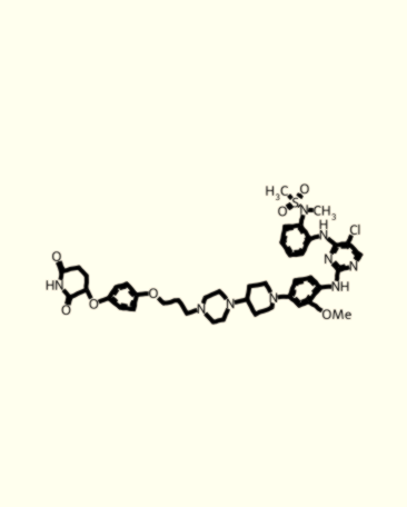 COc1cc(N2CCC(N3CCN(CCCOc4ccc(OC5CCC(=O)NC5=O)cc4)CC3)CC2)ccc1Nc1ncc(Cl)c(Nc2ccccc2N(C)S(C)(=O)=O)n1